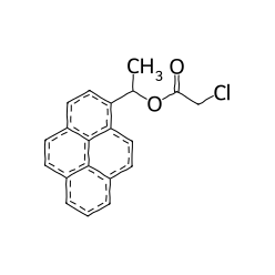 CC(OC(=O)CCl)c1ccc2ccc3cccc4ccc1c2c34